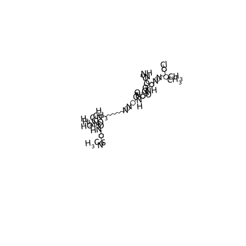 Cc1ncsc1-c1ccc(CNC(=O)[C@@H]2C[C@@H](O)CN2C(=O)[C@@H](NCCCCCCCCCCCN2CCN(C3CCC(CNc4ccc(S(=O)(=O)NC(=O)c5ccc(N6CCN(CC7=C(c8ccc(Cl)cc8)CC(C)(C)CC7)CC6)cc5Oc5cnc6[nH]ccc6c5)cc4[N+](=O)[O-])CC3)CC2)C(C)(C)C)cc1